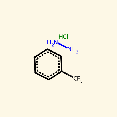 Cl.FC(F)(F)c1ccccc1.NN